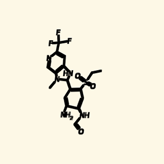 CCS(=O)(=O)c1cc(NC=O)c(N)cc1C1Nc2cc(C(F)(F)F)ncc2N1C